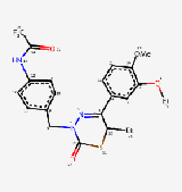 CCOc1cc(C2=NN(Cc3ccc(NC(=O)C(F)(F)F)cc3)C(=O)SC2CC)ccc1OC